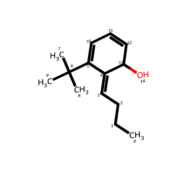 CCCC=C1C(C(C)(C)C)=CC=CC1O